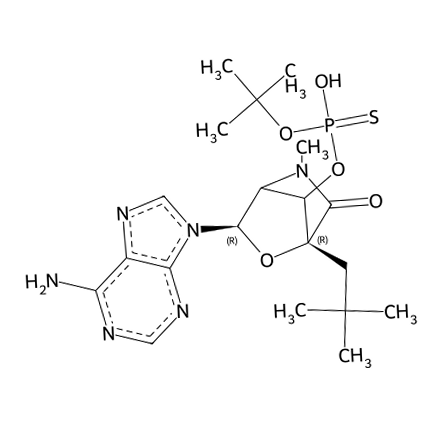 CN1C(=O)[C@]2(CC(C)(C)C)O[C@@H](n3cnc4c(N)ncnc43)C1C2OP(O)(=S)OC(C)(C)C